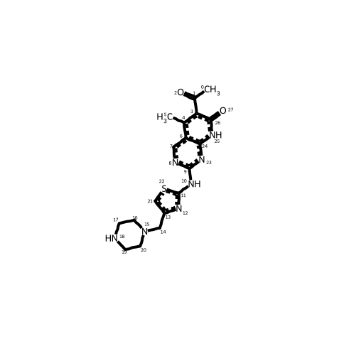 CC(=O)c1c(C)c2cnc(Nc3nc(CN4CCNCC4)cs3)nc2[nH]c1=O